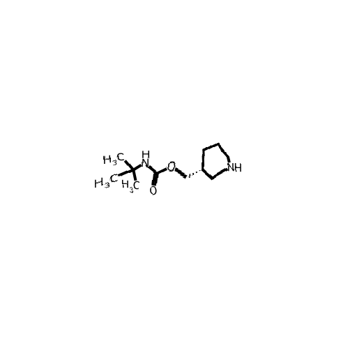 CC(C)(C)NC(=O)OC[C@@H]1CCCNC1